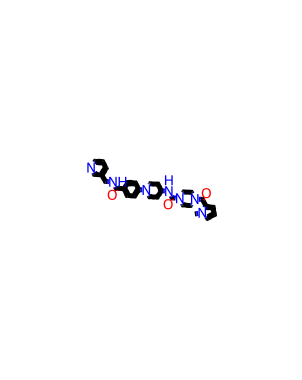 Cn1cccc1C(=O)N1CCN(C(=O)NC2CCN(c3ccc(C(=O)NCc4cccnc4)cc3)CC2)CC1